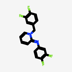 Fc1ccc(Cn2ccccc2=Nc2ccc(F)c(F)c2)cc1F